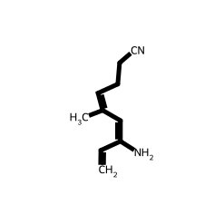 C=C/C(N)=C\C(C)=C/CCC#N